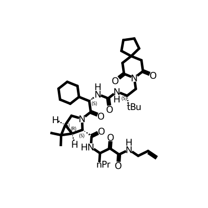 C=CCNC(=O)C(=O)C(CCC)NC(=O)[C@@H]1[C@@H]2[C@H](CN1C(=O)[C@@H](NC(=O)N[C@H](CN1C(=O)CC3(CCCC3)CC1=O)C(C)(C)C)C1CCCCC1)C2(C)C